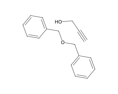 C#CCO.c1ccc(COCc2ccccc2)cc1